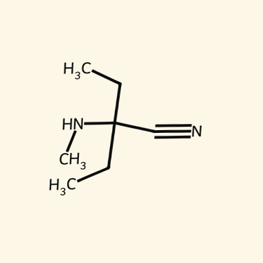 CCC(C#N)(CC)NC